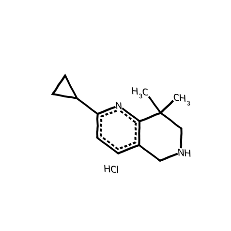 CC1(C)CNCc2ccc(C3CC3)nc21.Cl